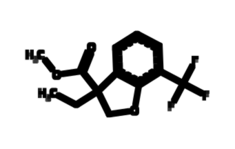 CCC1(C(=O)OC)COc2c(C(F)(F)F)cccc21